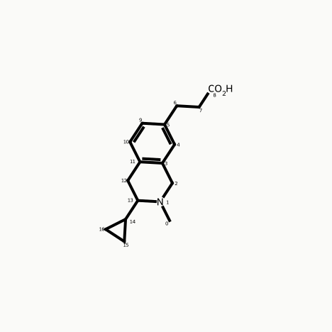 CN1Cc2cc(CCC(=O)O)ccc2CC1C1CC1